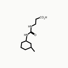 CC1CCCC(NC(=O)NCCC(=O)O)C1